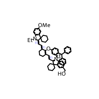 CCN1/C(=C/C=C2\CCCC(/C=C/C3=[N+](CC)c4ccc(CO)cc4C34CCCCC4)=C2Oc2ccc(C(c3ccccc3)c3ccccc3)cc2)C2(CCCCC2)c2cc(OC)ccc21